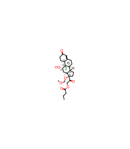 CCCC(=O)OCC(=O)[C@@]1(OCOC)CC[C@H]2[C@@H]3CCC4=CC(=O)CC[C@]4(C)[C@@]3(F)[C@@H](O)C[C@@]21C